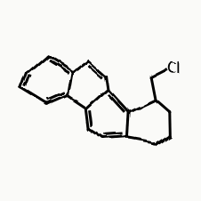 ClCC1CCCc2ccc3c(ccc4ccccc43)c21